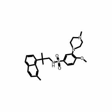 COc1ccc(S(=O)(=O)NCC(C)(C)c2cccc3ccc(C)cc23)cc1N1CCN(C)CC1